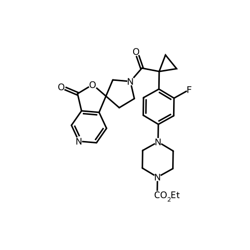 CCOC(=O)N1CCN(c2ccc(C3(C(=O)N4CCC5(C4)OC(=O)c4cnccc45)CC3)c(F)c2)CC1